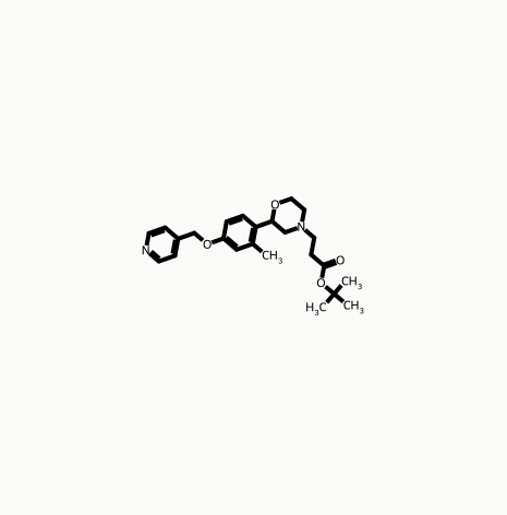 Cc1cc(OCc2ccncc2)ccc1C1CN(CCC(=O)OC(C)(C)C)CCO1